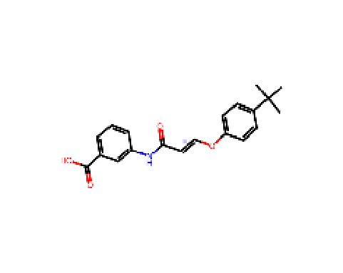 CC(C)(C)c1ccc(O/C=C/C(=O)Nc2cccc(C(=O)O)c2)cc1